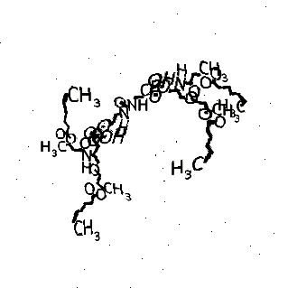 C/C=C\CCCC(=O)O[C@H](C)CCOCC(COP(=O)(O)OCCNC(=O)NCCOP(=O)(O)OCC(COCC[C@@H](C)OC(=O)CCC/C=C\C)NC(=O)C[C@@H](C)OC(=O)CCC/C=C\C)NC(=O)C[C@@H](C)OC(=O)CCC/C=C\C